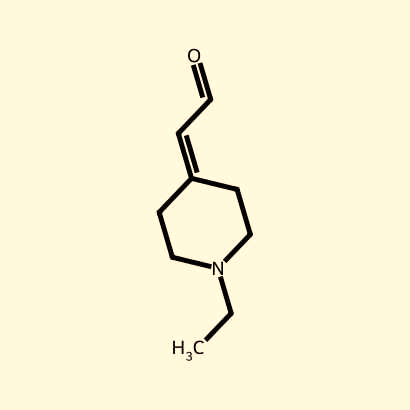 CCN1CCC(=CC=O)CC1